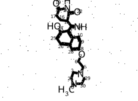 CN1CCN(CCOc2ccc3c(C(=N)C4CCC(=O)NC4=O)c(O)ccc3c2)CC1